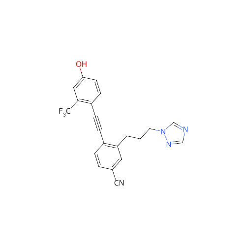 N#Cc1ccc(C#Cc2ccc(O)cc2C(F)(F)F)c(CCCn2cncn2)c1